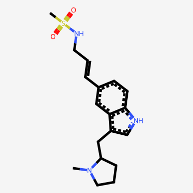 CN1CCCC1Cc1c[nH]c2ccc(C=CCNS(C)(=O)=O)cc12